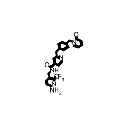 Nc1ccc(CNC(=O)c2ccnc(Cc3ccc(Cn4ccccc4=O)cc3)c2)c(C(F)(F)F)n1